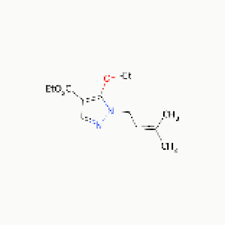 CCOC(=O)c1cnn(CC=C(C)C)c1OCC